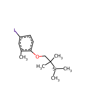 Cc1cc(I)ccc1OCC(C)(C)[Si](C)C